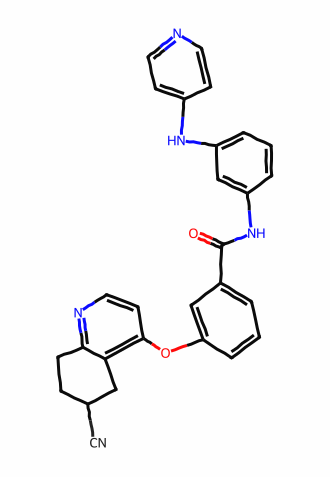 N#CC1CCc2nccc(Oc3cccc(C(=O)Nc4cccc(Nc5ccncc5)c4)c3)c2C1